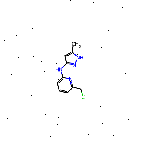 Cc1cc(Nc2cccc(CCl)n2)n[nH]1